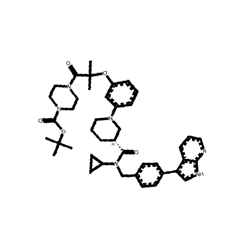 CC(C)(C)OC(=O)N1CCN(C(=O)C(C)(C)Oc2cccc(N3CCC[C@@H](C(=O)N(Cc4ccc(-c5c[nH]c6ncccc56)cc4)C4CC4)C3)c2)CC1